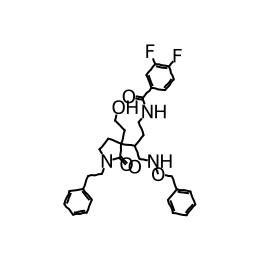 O=C(NCCC(C(=O)NOCc1ccccc1)C1(CCO)CCN(CCc2ccccc2)C1=O)c1ccc(F)c(F)c1